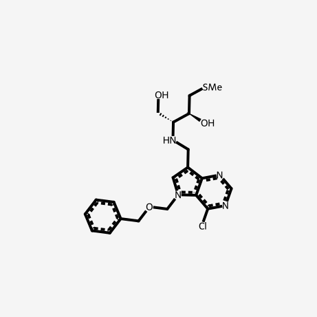 CSC[C@@H](O)[C@@H](CO)NCc1cn(COCc2ccccc2)c2c(Cl)ncnc12